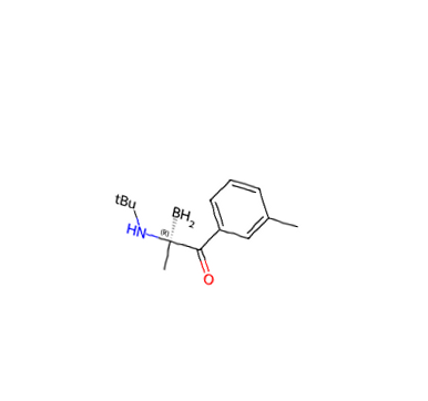 B[C@](C)(NC(C)(C)C)C(=O)c1cccc(C)c1